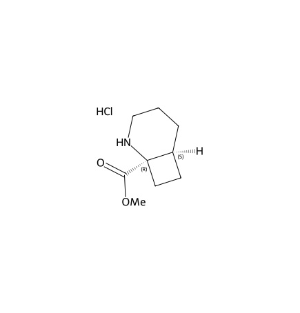 COC(=O)[C@@]12CC[C@@H]1CCCN2.Cl